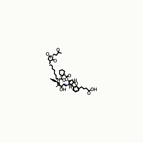 CC#CC[C@H](C)[C@H](O)/C=C/[C@@H]1[C@H]2c3cccc(CCCC(=O)O)c3O[C@H]2C[C@H]1OC(=O)[C@@H]1CCCC[C@@H]1C(=O)NCCCCCCSC1CC(=O)N(CCC(C)=O)C1=O